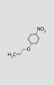 C=CCOc1ccc([N+](=O)[O-])cc1